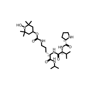 CC(C)NC(=O)[C@H](CCCNC(=O)OC1CC(C)(C)N(O)C(C)(C)C1)NC(=O)[C@@H](NC(=O)[C@@H]1CCCN1)C(C)C